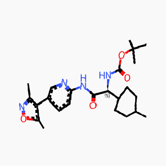 Cc1noc(C)c1-c1ccc(NC(=O)[C@@H](NC(=O)OC(C)(C)C)C2CCC(C)CC2)nc1